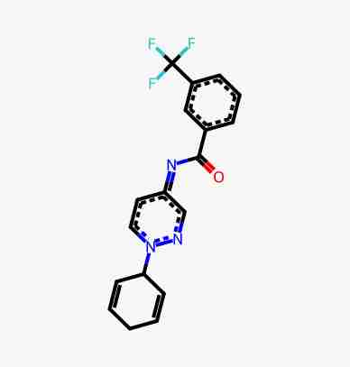 O=C(N=c1ccn(C2C=CCC=C2)nc1)c1cccc(C(F)(F)F)c1